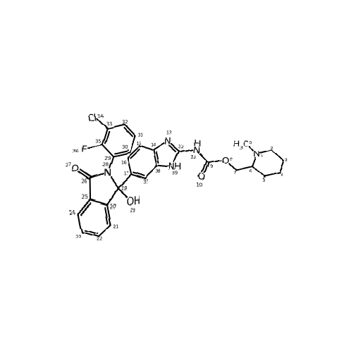 CN1CCCCC1COC(=O)Nc1nc2ccc(C3(O)c4ccccc4C(=O)N3c3cccc(Cl)c3F)cc2[nH]1